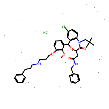 COc1c(OCCCNCCCc2ccccc2)cccc1C1OC(CC(=O)NCc2ccccc2)C(=O)N(CC(C)(C)C)c2ccc(Cl)cc21.Cl